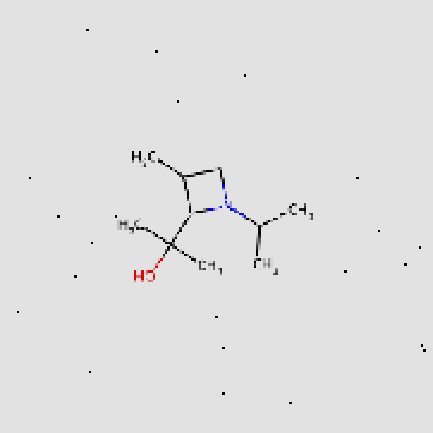 CC1CN(C(C)C)C1C(C)(C)O